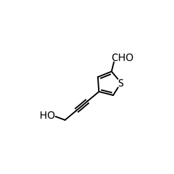 O=Cc1cc(C#CCO)cs1